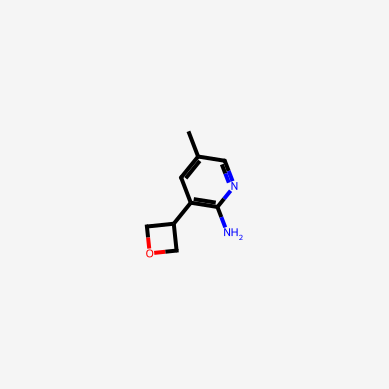 Cc1cnc(N)c(C2COC2)c1